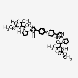 COC(=O)NC(C(=O)N1CCC[C@H]1c1ncc(-c2ccc(N3CCC(c4cnc([C@@H]5CCCN5C(=O)[C@@H](NC(=O)OC)C(C)C)[nH]4)CC3)cc2)[nH]1)C(C)C